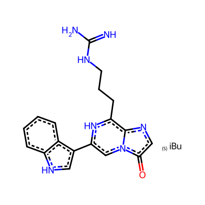 CC[C@H](C)c1nc2c(CCCNC(=N)N)[nH]c(-c3c[nH]c4ccccc34)cn-2c1=O